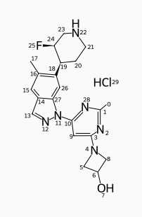 Cc1nc(N2CC(O)C2)cc(-n2ncc3cc(C)c([C@@H]4CCNC[C@@H]4F)cc32)n1.Cl